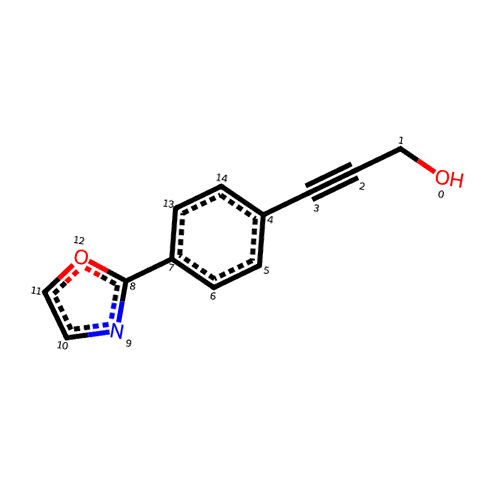 OCC#Cc1ccc(-c2ncco2)cc1